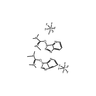 CN(C)C(On1nnc2cccnc21)=[N+](C)C.CN(C)C(On1nnc2cccnc21)=[N+](C)C.F[P-](F)(F)(F)(F)F.F[P-](F)(F)(F)(F)F